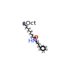 CCCCCCCC/C=C/CCCCCCCC(=O)NCCCCc1ccccc1